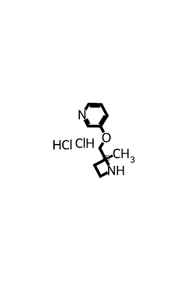 C[C@]1(COc2cccnc2)CCN1.Cl.Cl